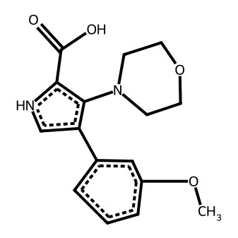 COc1cccc(-c2c[nH]c(C(=O)O)c2N2CCOCC2)c1